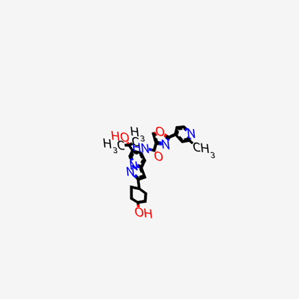 Cc1cc(-c2nc(C(=O)Nc3cc4cc(C5CCC(O)CC5)nn4cc3C(C)(C)O)co2)ccn1